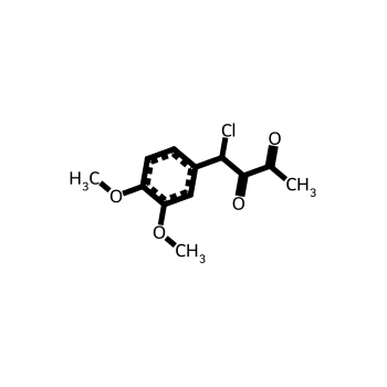 COc1ccc(C(Cl)C(=O)C(C)=O)cc1OC